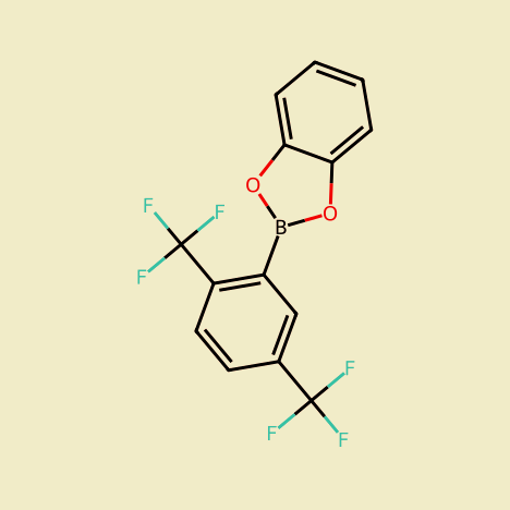 FC(F)(F)c1ccc(C(F)(F)F)c(B2Oc3ccccc3O2)c1